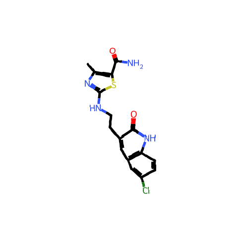 Cc1nc(NCCc2cc3cc(Cl)ccc3[nH]c2=O)sc1C(N)=O